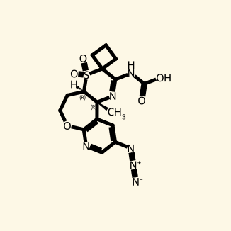 C[C@]12N=C(NC(=O)O)C3(CCC3)S(=O)(=O)[C@@H]1CCOc1ncc(N=[N+]=[N-])cc12